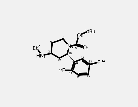 CCNC1CCN(C(=O)OC(C)(C)C)[C@H](c2cc(F)ccc2F)C1